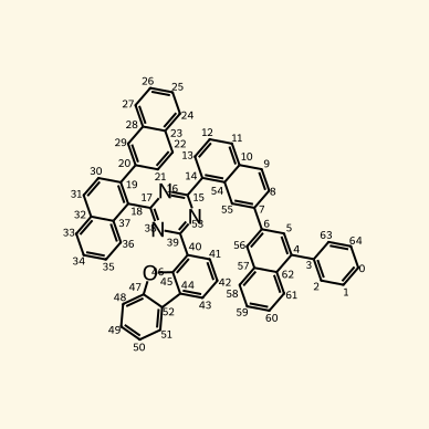 c1ccc(-c2cc(-c3ccc4cccc(-c5nc(-c6c(-c7ccc8ccccc8c7)ccc7ccccc67)nc(-c6cccc7c6oc6ccccc67)n5)c4c3)cc3ccccc23)cc1